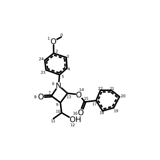 COc1ccc(N2C(=O)C(C(C)O)C2OC(=O)c2ccccc2)cc1